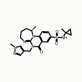 C[C@@H]1CCCN=C2N(Cc3cnn(C)c3)C(=O)c3cc(S(=O)(=O)NC4(C)CC4)ccc3N21